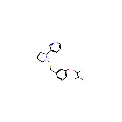 CCC(OC)C(CC)Oc1cccc(CSN2CCCC2c2cccnc2)c1